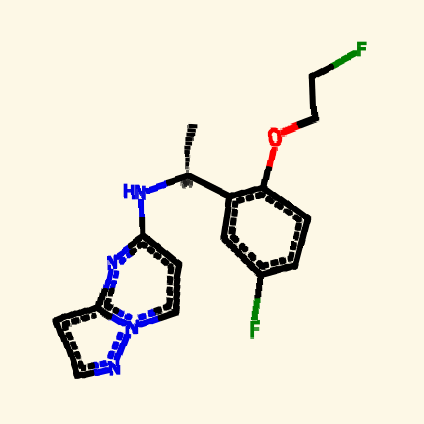 C[C@@H](Nc1ccn2nccc2n1)c1cc(F)ccc1OCCF